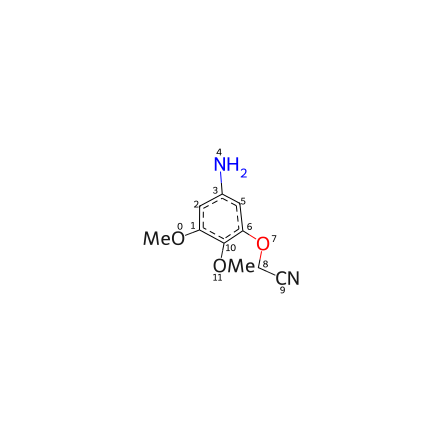 COc1cc(N)cc(OCC#N)c1OC